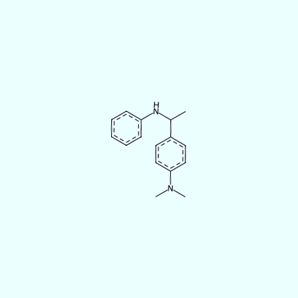 CC(Nc1ccccc1)c1ccc(N(C)C)cc1